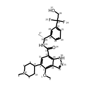 COc1c(C2CCN(C)CC2)cc(C(=O)N[C@H](C)c2cccc(C(F)(F)CO)c2)c2[nH]ncc12